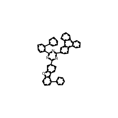 c1ccc(-c2ccccc2-c2nc(-c3ccc4c(c3)oc3cccc(-c5ccccc5)c34)nc(-c3ccc4c5ccccc5c5ccccc5c4c3)n2)cc1